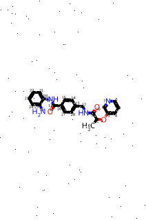 CC(Oc1cccnc1)C(=O)NCc1ccc(C(=O)Nc2ccccc2N)cc1